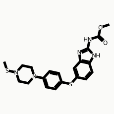 COC(=O)Nc1nc2cc(Sc3ccc(N4CCN(SC)CC4)cc3)ccc2[nH]1